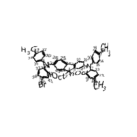 CCCCCCCCC1(CCCCCCCC)c2cc(N(c3ccc(C)cc3)c3ccc(C)cc3)ccc2-c2ccc(N(c3ccc(C)cc3)c3ccc(Br)cc3)cc21